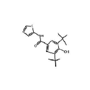 CC(C)(C)c1cc(C(=O)Nc2cccs2)cc(C(C)(C)C)c1O